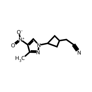 Cc1nn(C2CC(CC#N)C2)cc1[N+](=O)[O-]